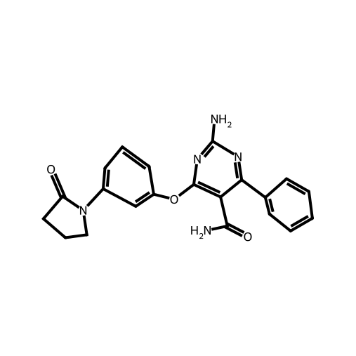 NC(=O)c1c(Oc2cccc(N3CCCC3=O)c2)nc(N)nc1-c1ccccc1